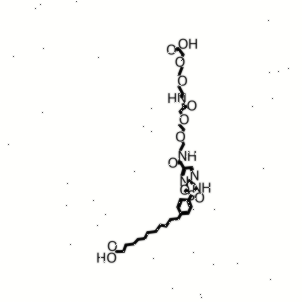 O=C(O)CCCCCCCCCCCc1ccc(S(=O)(=O)Nc2ncc(C(=O)NCCOCCOCC(=O)NCCOCCOCC(=O)O)cn2)cc1